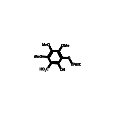 CCCCCOc1c(O)c(C(=O)O)c(OC)c(OC)c1OC